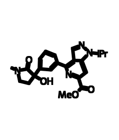 COC(=O)c1cc2c(cnn2C(C)C)c(-c2cccc(C3(O)CCN(C)C3=O)c2)n1